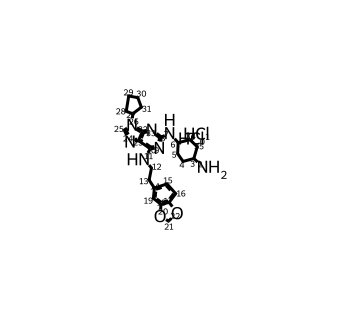 Cl.Cl.NC1CCC(Nc2nc(NCCc3ccc4c(c3)OCO4)c3ncn(C4CCCC4)c3n2)CC1